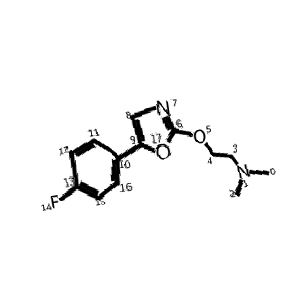 CN(C)CCOc1ncc(-c2ccc(F)cc2)o1